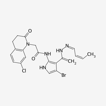 C=C(N/N=C\C=C/C)c1c(Br)c[nH]c1NC(=O)CN1C(=O)CCc2ccc(Cl)cc21